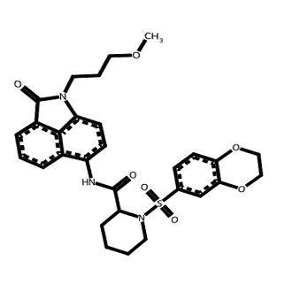 COCCCN1C(=O)c2cccc3c(NC(=O)C4CCCCN4S(=O)(=O)c4ccc5c(c4)OCCO5)ccc1c23